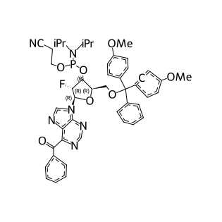 COc1ccc(C(OC[C@H]2O[C@@H](n3cnc4c(C(=O)c5ccccc5)ncnc43)[C@H](F)[C@@H]2OP(OCCC#N)N(C(C)C)C(C)C)(c2ccccc2)c2ccc(OC)cc2)cc1